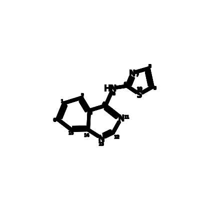 c1ccc2c(Nc3nccs3)ncnc2c1